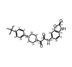 CC(C)(C)c1ccc(N2CCN(C(=O)C(=O)Nc3ccc4[nH]c(=O)oc4c3)CC2)cc1